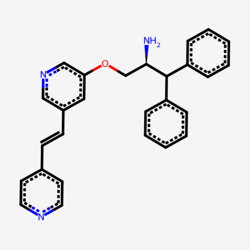 N[C@H](COc1cncc(C=Cc2ccncc2)c1)C(c1ccccc1)c1ccccc1